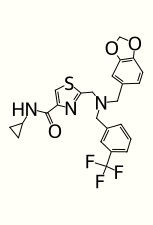 O=C(NC1CC1)c1csc(CN(Cc2cccc(C(F)(F)F)c2)Cc2ccc3c(c2)OCO3)n1